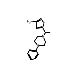 CC(c1cc(N)no1)N1CCN(c2ccccc2)CC1